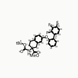 COC(=O)C1(NC(=O)OC(C)(C)C)CCc2ccc(Oc3ccccc3-c3ccc(F)c(F)c3F)cc2C1